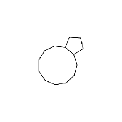 C1CCCCC2CCCC2CCCC1